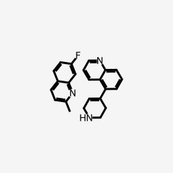 C1=C(c2cccc3ncccc23)CCNC1.Cc1ccc2ccc(F)cc2n1